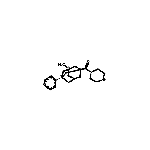 C[C@]12CC3CC(C(=O)N4CCNCC4)(C1)C[C@@](c1ccccc1)(C3)C2